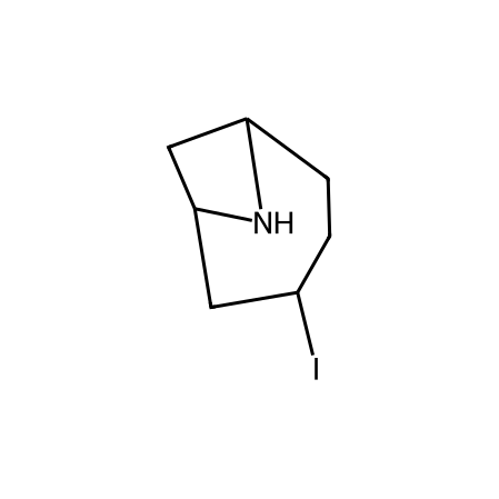 IC1CCC2CC(C1)N2